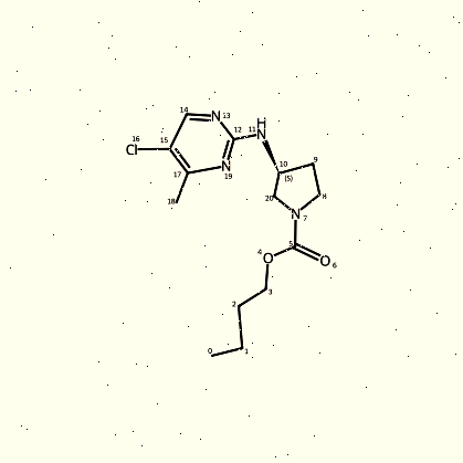 CCCCOC(=O)N1CC[C@H](Nc2ncc(Cl)c(C)n2)C1